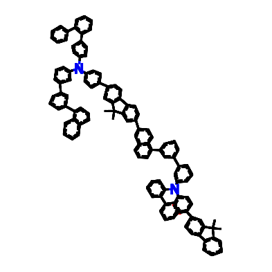 CC1(C)c2ccccc2-c2ccc(-c3ccc(N(c4cccc(-c5cccc(-c6cccc7cc(-c8ccc9c(c8)C(C)(C)c8cc(-c%10ccc(N(c%11ccc(-c%12ccccc%12-c%12ccccc%12)cc%11)c%11cccc(-c%12cccc(-c%13cccc%14ccccc%13%14)c%12)c%11)cc%10)ccc8-9)ccc67)c5)c4)c4ccccc4-c4ccccc4)cc3)cc21